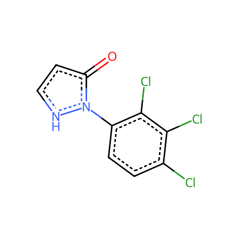 O=c1cc[nH]n1-c1ccc(Cl)c(Cl)c1Cl